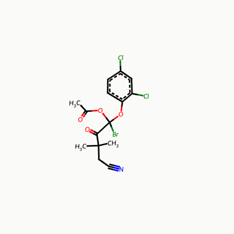 CC(=O)OC(Br)(Oc1ccc(Cl)cc1Cl)C(=O)C(C)(C)CC#N